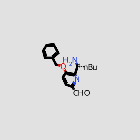 CCCC[C@@H](N)c1nc(C=O)ccc1OCc1ccccc1